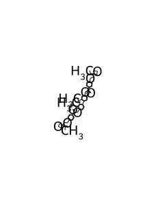 CCC1(COc2ccc(C(=O)Oc3ccc4c(c3)C(C)(C)c3cc(OC(=O)c5ccc(OCC6(CC)COC6)cc5)ccc3-4)cc2)COC1